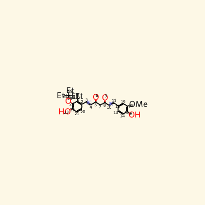 CCc1c(/C=C/C(=O)CC(=O)/C=C/c2ccc(O)c(OC)c2)ccc(O)c1OC(CC)(CC)CC